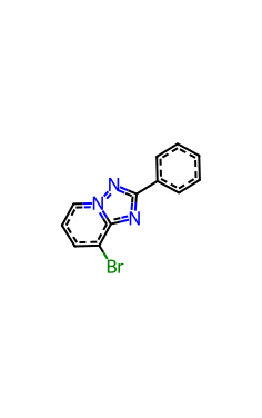 Brc1cccn2nc(-c3ccccc3)nc12